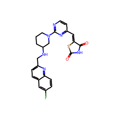 O=C1NC(=O)C(=Cc2ccnc(N3CCCC(NCc4ccc5cc(F)ccc5n4)C3)n2)S1